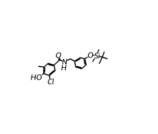 Cc1cc(C(=O)NCc2cccc(O[Si](C)(C)C(C)(C)C)c2)cc(Cl)c1O